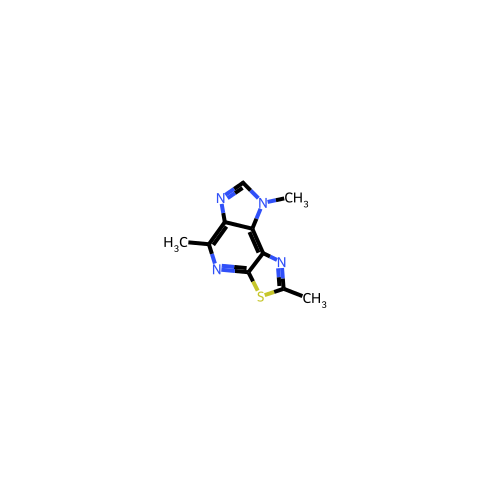 Cc1nc2c(nc(C)c3ncn(C)c32)s1